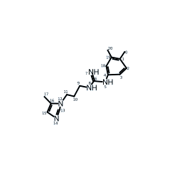 Cc1ccc(NC(=N)NCCCn2cncc2C)cc1C